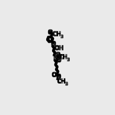 CCOC(=O)CCCCCCN(CCCC(O)COc1cccc(C(C)=O)c1)S(C)(=O)=O